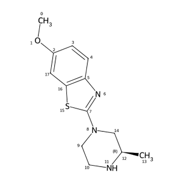 COc1ccc2nc(N3CCN[C@H](C)C3)sc2c1